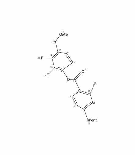 CCCCCc1ccc(C(=O)Oc2ccc(COC)c(F)c2F)c(F)c1